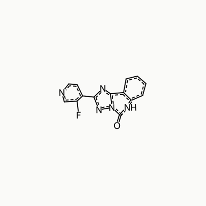 O=c1[nH]c2ccccc2c2nc(-c3ccncc3F)nn12